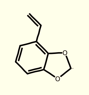 C=Cc1cccc2c1O[CH]O2